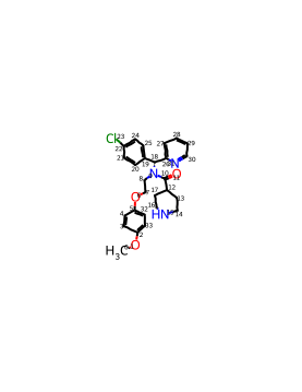 COc1ccc(OCCN(C(=O)C2CCNCC2)[C@H](c2ccc(Cl)cc2)c2ccccn2)cc1